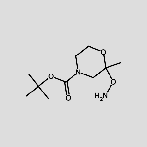 CC(C)(C)OC(=O)N1CCOC(C)(ON)C1